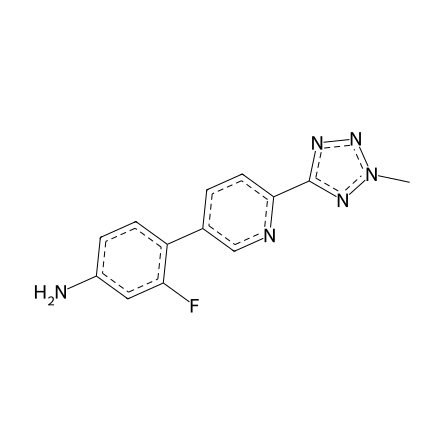 Cn1nnc(-c2ccc(-c3ccc(N)cc3F)cn2)n1